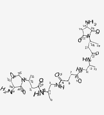 CC(CNC(=O)CCC(=O)NCC(C)NC(=O)CC(C)N1C(=O)CC(N)C1=O)NC(=O)CC(C)N1COCC(N)C1=O